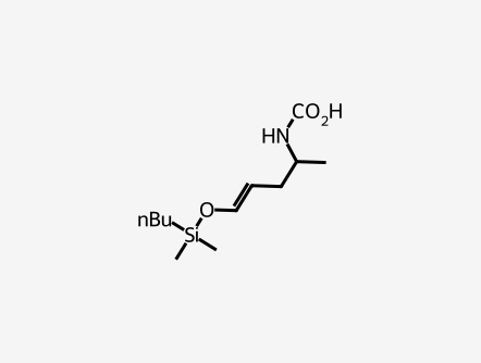 CCCC[Si](C)(C)OC=CCC(C)NC(=O)O